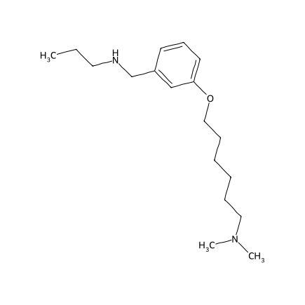 CCCNCc1cccc(OCCCCCCN(C)C)c1